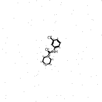 O=C(Nc1cccc(Cl)c1)N1CCSCC1